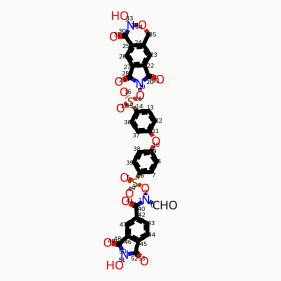 O=CN(OS(=O)(=O)c1ccc(Oc2ccc(S(=O)(=O)ON3C(=O)c4cc5c(cc4C3=O)C(=O)N(O)OC5)cc2)cc1)C(=O)c1ccc2c(c1)C(=O)N(O)C2=O